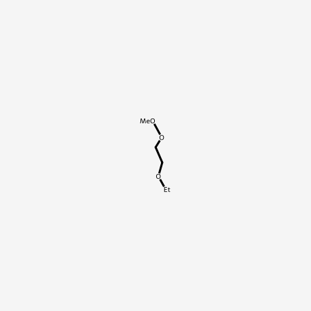 CCOCCOOC